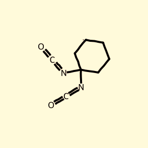 O=C=NC1(N=C=O)C[CH]CCC1